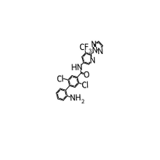 Nc1ccccc1-c1cc(Cl)c(C(=O)Nc2cnc(-n3nccn3)c(C(F)(F)F)c2)cc1Cl